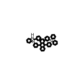 c1ccc(C2Nc3ccccc3N2c2cccc(-c3c4ccccc4c(-c4cccc([Si](c5ccccc5)(c5ccccc5)c5ccccc5)c4)c4ccccc34)c2)cc1